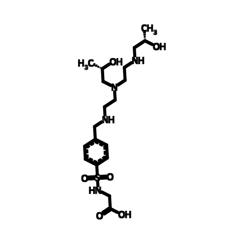 C[C@H](O)CNCCN(CCNCc1ccc(S(=O)(=O)NCC(=O)O)cc1)C[C@H](C)O